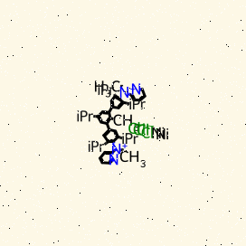 CC=[N+](c1ccccn1)c1c(C(C)C)cc(-c2cc(C(C)C)cc(-c3cc(C(C)C)c([N+](=CC)c4ccccn4)c(C(C)C)c3)c2C)cc1C(C)C.[Cl-].[Cl-].[Cl-].[Cl-].[Ni].[Ni]